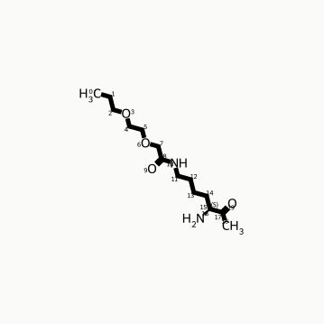 CCCOCCOCC(=O)NCCCC[C@H](N)C(C)=O